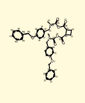 CN(Cc1ccc(OCc2ccccc2)cc1)C(=O)OC(=O)C1CCC1C(=O)OC(=O)N(C)Cc1ccc(OCc2ccccc2)cc1